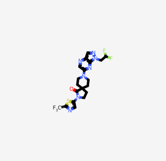 O=C1N(c2cnc(C(F)(F)F)s2)CCC12CCN(c1cnc3cnn(CC(F)F)c3n1)CC2